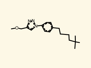 COCc1cn(-c2ccc(CCCCC(C)(C)C)cc2)nn1